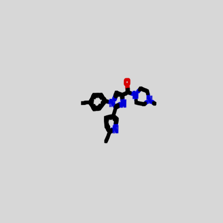 Cc1ccc(-n2cc(C(=O)N3CCN(C)CC3)nc2-c2ccc(C)nc2)cc1